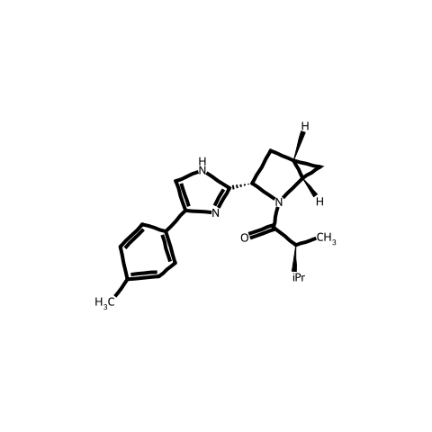 Cc1ccc(-c2c[nH]c([C@@H]3C[C@@H]4C[C@@H]4N3C(=O)[C@@H](C)C(C)C)n2)cc1